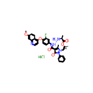 COc1ccc2c(Oc3ccc(NC(=O)c4c(C)n(C[C@H](C)OC(=O)C(C)N)n(-c5ccccc5)c4=O)cc3F)ccnc2c1.Cl